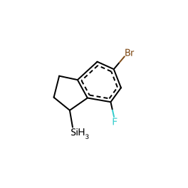 Fc1cc(Br)cc2c1C([SiH3])CC2